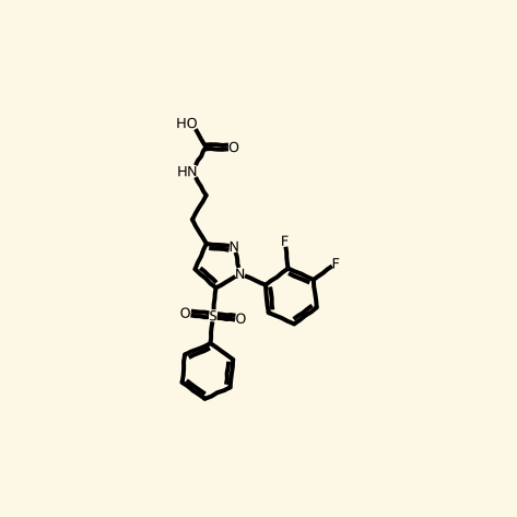 O=C(O)NCCc1cc(S(=O)(=O)c2ccccc2)n(-c2cccc(F)c2F)n1